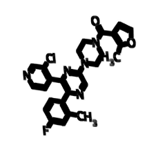 Cc1cc(F)ccc1-c1ncc(N2CCN(C(=O)c3ccoc3C)CC2)nc1-c1ccncc1Cl